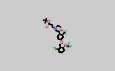 CC(C)(C)OC(=O)CCN1CCOC(c2ccc(OCc3c(Cl)cccc3OC(F)(F)F)cc2C(F)(F)F)C1